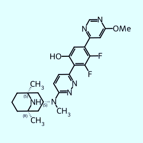 COc1cc(-c2cc(O)c(-c3ccc(N(C)[C@H]4C[C@]5(C)CCC[C@](C)(C4)N5)nn3)c(F)c2F)ncn1